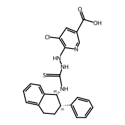 O=C(O)c1cnc(NNC(=S)N[C@H]2c3ccccc3CC[C@H]2c2ccccc2)c(Cl)c1